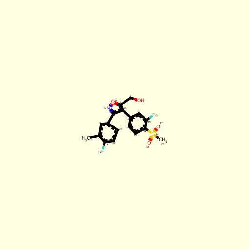 Cc1cc(-c2noc(CO)c2-c2ccc(S(C)(=O)=O)c(F)c2)ccc1F